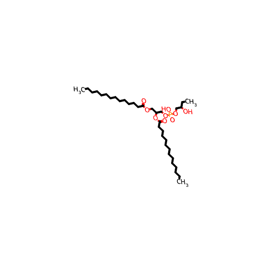 CCCCCCCCCCCCCC(=O)OCC(COP(=O)(O)OCC(O)CC)OC(=O)CCCCCCCCCCCCC